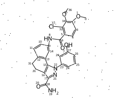 COc1ccc(C(=O)Nc2ccc3c(c2)-c2c(c(C(N)=O)nn2-c2cccc(O)c2)CC3)c(Cl)c1OC